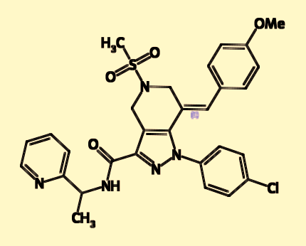 COc1ccc(/C=C2\CN(S(C)(=O)=O)Cc3c(C(=O)NC(C)c4ccccn4)nn(-c4ccc(Cl)cc4)c32)cc1